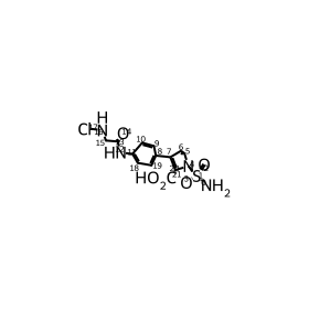 NS(=O)(=O)n1ccc(-c2ccc(NC(=O)CNCl)cc2)c1C(=O)O